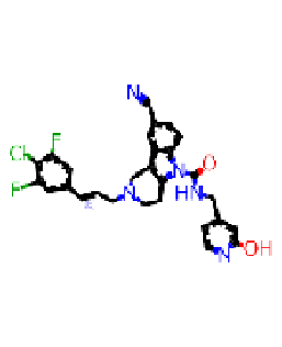 N#Cc1ccc2c(c1)c1c(n2C(=O)NCc2ccnc(O)c2)CCN(C/C=C/c2cc(F)c(Cl)c(F)c2)C1